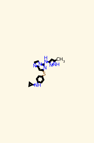 Cc1cc(Nc2nc(Sc3ccc(NC4CC4)cc3)cc3nccn23)n[nH]1